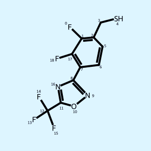 Fc1c(CS)ccc(-c2noc(C(F)(F)F)n2)c1F